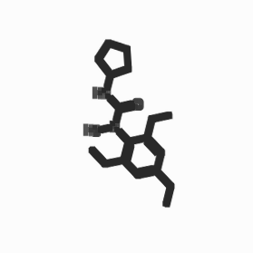 CCc1cc(CC)c(N(S)C(=O)NC2CCCC2)c(CC)c1